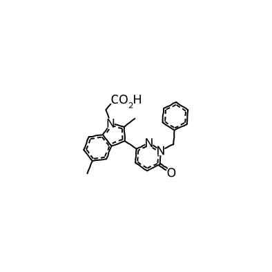 Cc1ccc2c(c1)c(-c1ccc(=O)n(Cc3ccccc3)n1)c(C)n2CC(=O)O